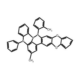 Cc1cc2c3c(c1)N(c1ccccc1)c1ccccc1B3N(c1ccccc1C)c1cc3c(cc1-2)Oc1ccccc1O3